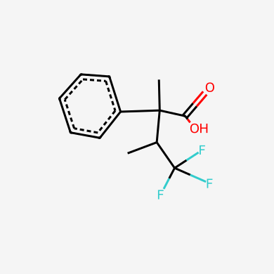 CC(C(F)(F)F)C(C)(C(=O)O)c1ccccc1